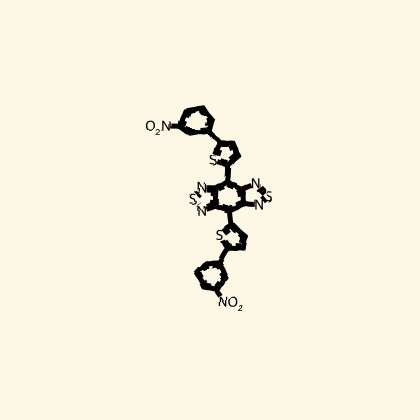 O=[N+]([O-])c1cccc(-c2ccc(-c3c4c(c(-c5ccc(-c6cccc([N+](=O)[O-])c6)s5)c5nsnc35)N=S=N4)s2)c1